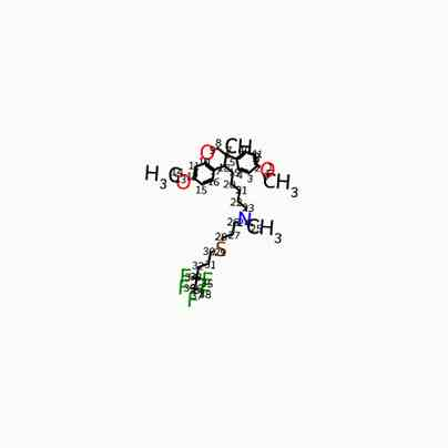 COc1ccc(C2(C)COc3cc(OC)ccc3C2CCCCCN(C)CCCSCCCC(F)(F)C(F)(F)F)cc1